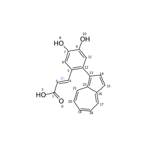 O=C(O)/C=C/c1cc(O)c(O)cc1-c1ccc2cccccc1-2